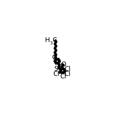 CCCCCCCCOc1ccc(N2C(=O)c3c(Cl)c(Cl)c(Cl)c(Cl)c3C2=S)cc1